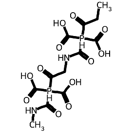 CCC(=O)[PH](C(=O)O)(C(=O)O)C(=O)NCC(=O)[PH](C(=O)O)(C(=O)O)C(=O)NC